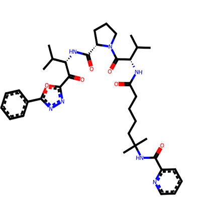 CC(C)[C@H](NC(=O)[C@@H]1CCCN1C(=O)[C@@H](NC(=O)CCCCC(C)(C)NC(=O)c1ccccn1)C(C)C)C(=O)c1nnc(-c2ccccc2)o1